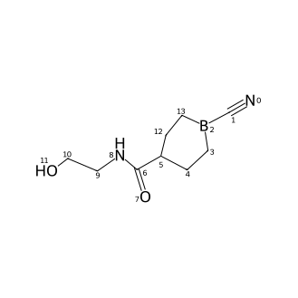 N#CB1CCC(C(=O)NCCO)CC1